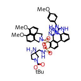 COc1ccc(CN(Cc2ccc(OC)cc2)S(=O)(=O)c2c(S(=O)(=O)NC[C@@]3(N)CCN(C(=O)OC(C)(C)C)C3)ccc(-c3cccc4[nH]c(N)nc34)c2-c2nnn(Cc3ccc(OC)cc3)n2)cc1